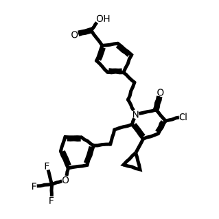 O=C(O)c1ccc(CCn2c(CCc3cccc(OC(F)(F)F)c3)c(C3CC3)cc(Cl)c2=O)cc1